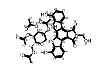 CC(=O)OC[C@H]1O[C@@H](n2c3c(O)cccc3c3c4c(c5c6cccc(O)c6[nH]c5c32)C(=O)N(CO)C4=O)[C@H](OC(C)=O)[C@@H](OC(C)=O)[C@@H]1OC(C)=O